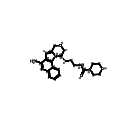 Nc1nc2ccccc2c2c1nc1n2[C@@H](CCCNC(=O)N2CCOCC2)COC1